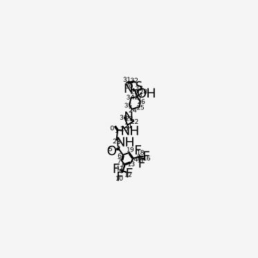 C=C(CNC(=O)c1cc(C(F)(F)F)cc(C(F)(F)F)c1)NC1CN([C@H]2CC[C@@](O)(c3nccs3)CC2)C1